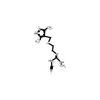 CN/C(=N/CCSCc1c(C)n[nH]c1C)NC#N